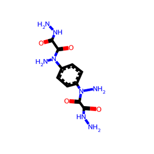 NNC(=O)C(=O)N(N)c1ccc(N(N)C(=O)C(=O)NN)cc1